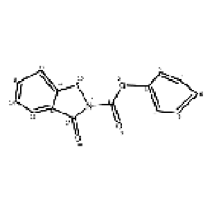 O=C(Oc1ccccc1)n1sc2ccccc2c1=O